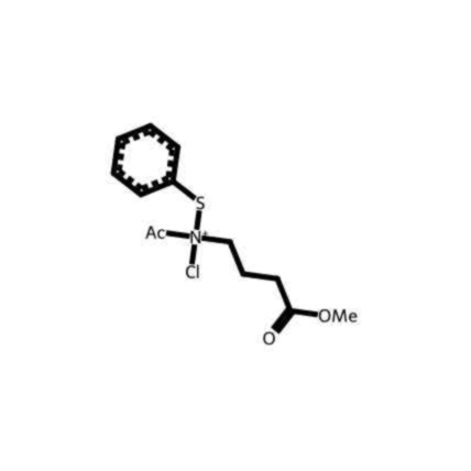 COC(=O)CCC[N+](Cl)(Sc1ccccc1)C(C)=O